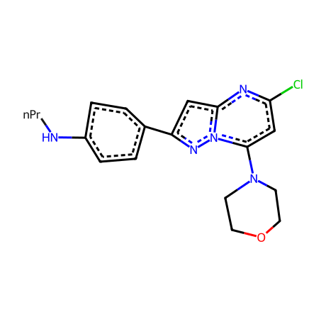 CCCNc1ccc(-c2cc3nc(Cl)cc(N4CCOCC4)n3n2)cc1